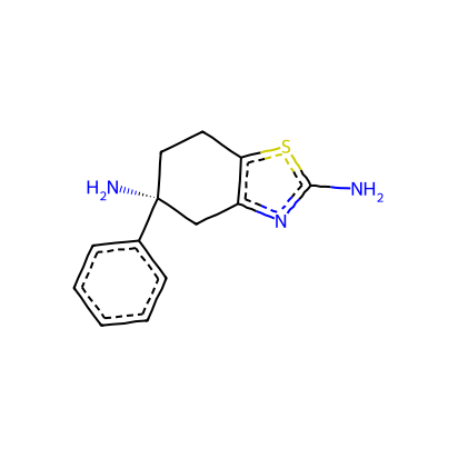 Nc1nc2c(s1)CC[C@](N)(c1ccccc1)C2